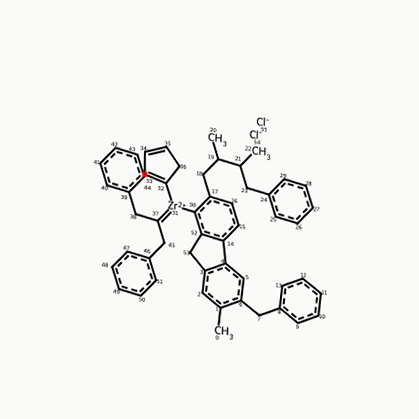 Cc1cc2c(cc1Cc1ccccc1)-c1ccc(CC(C)C(C)Cc3ccccc3)[c]([Zr+2]([C]3=CC=CC3)=[C](Cc3ccccc3)Cc3ccccc3)c1C2.[Cl-].[Cl-]